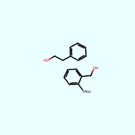 CCCCCCCCCc1ccccc1CO.OCCc1ccccc1